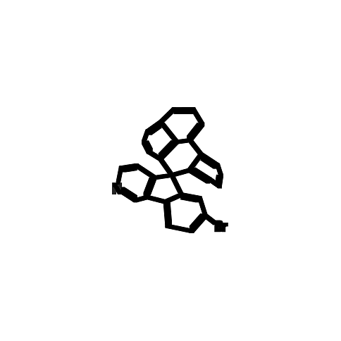 Brc1ccc2c(c1)C1(c3ccncc3-2)c2ccccc2-c2cccc3cccc1c23